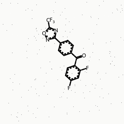 O=C(c1ccc(-c2noc(C(F)(F)F)n2)cc1)c1ccc(F)cc1F